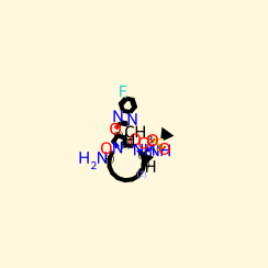 Cc1nc2ccc(F)cc2nc1O[C@@H]1C[C@H]2C(=O)N[C@]3(C(=O)NS(=O)(=O)C4CC4)C[C@H]3/C=C\CCCCC[C@H](N)C(=O)N2C1